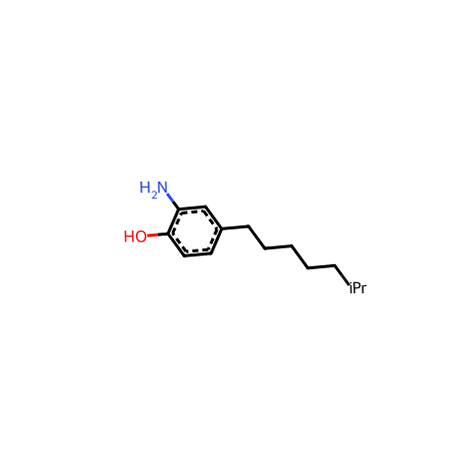 CC(C)CCCCCc1ccc(O)c(N)c1